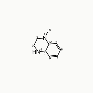 IN1CCNC2C=CC=CC21